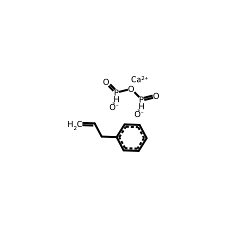 C=CCc1ccccc1.O=[PH]([O-])O[PH](=O)[O-].[Ca+2]